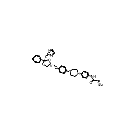 CCC(C)NC(=O)Nc1ccc(N2CCN(c3ccc(OC[C@@H]4CO[C@@](Cn5nccn5)(c5ccccc5)O4)cc3)CC2)cc1